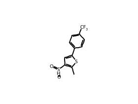 Cc1sc(-c2ccc(C(F)(F)F)cc2)cc1[SH](=O)=O